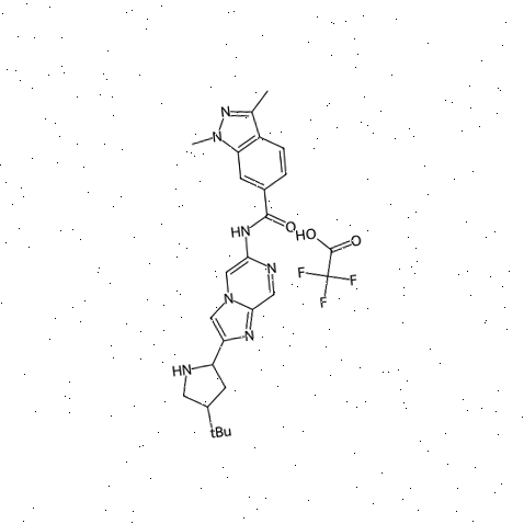 Cc1nn(C)c2cc(C(=O)Nc3cn4cc(C5CC(C(C)(C)C)CN5)nc4cn3)ccc12.O=C(O)C(F)(F)F